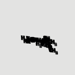 CCOC(=O)CC(C)(C)C(=O)c1cc(C)c(C#CCNc2ccc(C(=N)N)cc2)cc1C